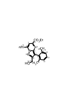 CCCc1cc(C(=O)OCC)nc2c(-c3c(C)cccc3C)c(CO)nn12